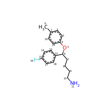 Cc1ccc(OC(CCCCN)c2ccc(F)cc2)cc1